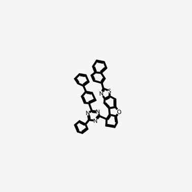 c1ccc(-c2ccc(-c3nc(-c4ccccc4)nc(-c4cccc5oc6cc7sc(-c8ccc9ccccc9c8)nc7cc6c45)n3)cc2)cc1